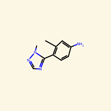 Cc1cc(N)ccc1-c1ncnn1C